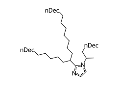 CCCCCCCCCCCCCCCCCC(CCCCCCCCCCCCCCC)c1nccn1C(C)CCCCCCCCCCC